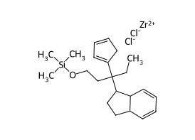 CCC(CCO[Si](C)(C)C)(C1=CC=CC1)C1CCC2C=CC=CC21.[Cl-].[Cl-].[Zr+2]